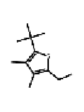 CCc1sc(C(C)(C)C)c(C)c1C